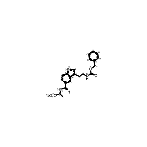 CCOC(=O)C(C)NC(=O)c1ccc2[nH]cc(CCNC(=O)OCc3ccccc3)c2c1